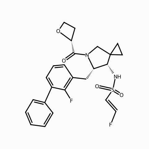 O=C([C@H]1CCO1)N1CC2(CC2)[C@H](NS(=O)(=O)/C=C/F)[C@@H]1Cc1cccc(-c2ccccc2)c1F